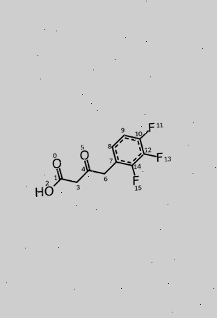 O=C(O)CC(=O)Cc1ccc(F)c(F)c1F